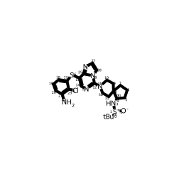 CC(C)(C)[S@@+]([O-])N[C@@H]1CCCC12CCN(c1ncc(Sc3cccc(N)c3Cl)c3nccn13)CC2